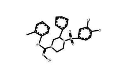 Cc1ccccc1N/C(=N/C#N)N1CCN(S(=O)(=O)c2ccc(Cl)c(Cl)c2)C(c2ccccc2)C1